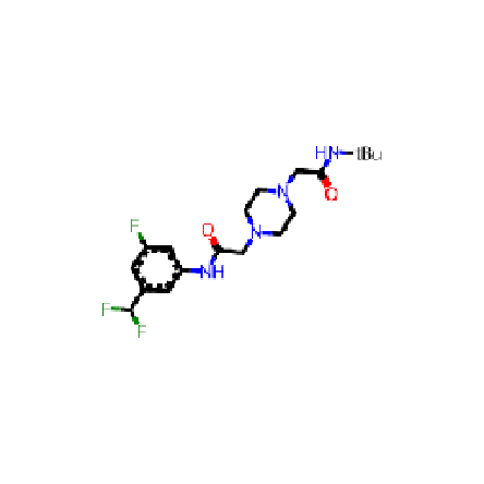 CC(C)(C)NC(=O)CN1CCN(CC(=O)Nc2cc(F)cc(C(F)F)c2)CC1